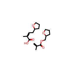 C=C(C)C(=O)OCC1CCCO1.CC(=CCC1CCCO1)C(=O)O